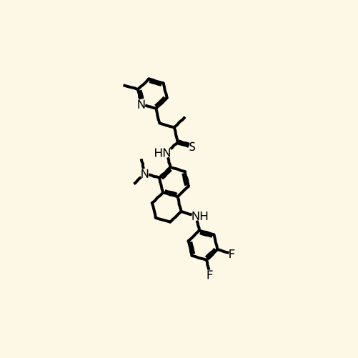 Cc1cccc(CC(C)C(=S)Nc2ccc3c(c2N(C)C)CCCC3Nc2ccc(F)c(F)c2)n1